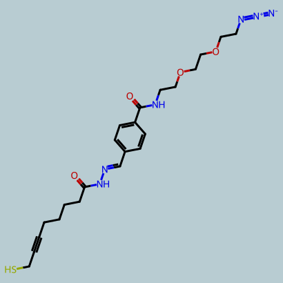 [N-]=[N+]=NCCOCCOCCNC(=O)c1ccc(C=NNC(=O)CCCCC#CCS)cc1